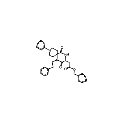 O=C(CC1NC(=O)C2(CCN(c3ccccc3)CC2)N(CCc2ccccc2)C1=O)OCc1ccccc1